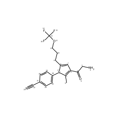 Cc1c(C(=O)CN)cc(CCCOC(F)(F)F)n1-c1ccc(C#N)cc1